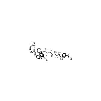 C=CC(OC(=O)CCCCCCCCC)C1CCCCC1